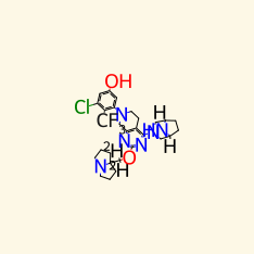 [2H]C([2H])(Oc1nc2c(c(N3C[C@H]4CC[C@@H](C3)N4)n1)CCN(c1cc(O)cc(Cl)c1C(F)(F)F)C2)C12CCCN1CCC2